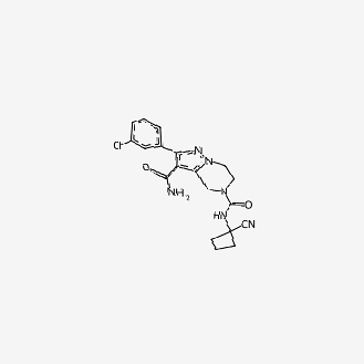 N#CC1(NC(=O)N2CCn3nc(-c4cccc(Cl)c4)c(C(N)=O)c3C2)CCC1